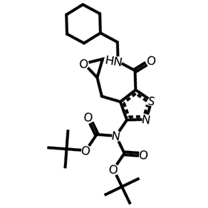 CC(C)(C)OC(=O)N(C(=O)OC(C)(C)C)c1nsc(C(=O)NCC2CCCCC2)c1CC1CO1